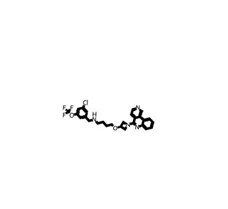 FC(F)(F)Oc1cc(Cl)cc(CNCCCCOC2CN(c3nc4ccccc4c4cnccc34)C2)c1